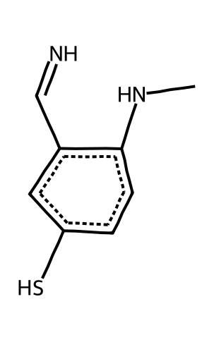 CNc1ccc(S)cc1C=N